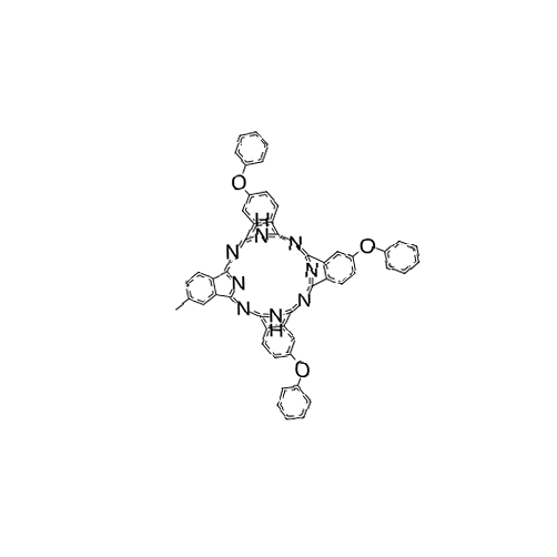 Cc1ccc2c(c1)-c1nc-2nc2[nH]c(nc3nc(nc4[nH]c(n1)c1ccc(Oc5ccccc5)cc41)-c1ccc(Oc4ccccc4)cc1-3)c1ccc(Oc3ccccc3)cc21